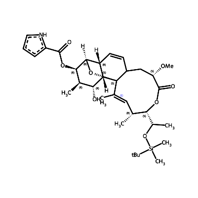 CO[C@H]1CC2C=C[C@H]3[C@H]4O[C@]2(/C(C)=C/[C@@H](C)[C@@H](C(C)O[Si](C)(C)C(C)(C)C)OC1=O)[C@@H]3[C@H](O)[C@@H](C)[C@H]4OC(=O)c1ccc[nH]1